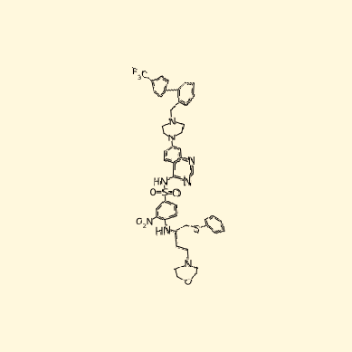 O=[N+]([O-])c1cc(S(=O)(=O)Nc2ncnc3cc(N4CCN(Cc5ccccc5-c5ccc(C(F)(F)F)cc5)CC4)ccc23)ccc1NC(CCN1CCOCC1)CSc1ccccc1